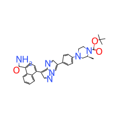 C[C@H]1CN(c2ccc(-c3cnc4c(-c5ccc(C(N)=O)c6ccccc56)cnn4c3)cc2)CCN1C(=O)OC(C)(C)C